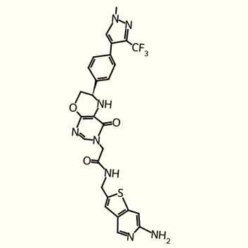 Cn1cc(-c2ccc([C@@H]3COc4ncn(CC(=O)NCc5cc6cnc(N)cc6s5)c(=O)c4N3)cc2)c(C(F)(F)F)n1